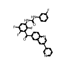 O=C(Nc1cccc(F)c1)Nc1cc(F)c(F)c(C(=O)c2ccc3ncc(-c4cccnc4)cc3c2)c1F